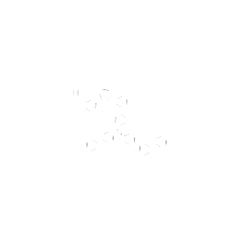 CC1(C)c2ccccc2-c2c1ccc1c2sc2c(-c3ccc(N(c4ccc(-c5ccccc5)cc4)c4ccc(-c5cccc(-c6ccccc6)c5)cc4)cc3)cccc21